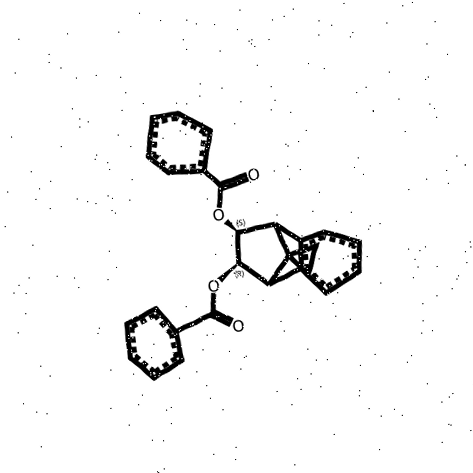 O=C(O[C@@H]1C2c3ccccc3C([C@@H]1OC(=O)c1ccccc1)C21CC1)c1ccccc1